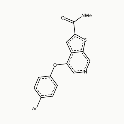 CNC(=O)c1cc2c(Oc3ccc(C(C)=O)cc3)cncc2s1